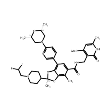 CSc1cc(C)[nH]c(=O)c1CNC(=O)c1cc(-c2ccc(N3C[C@@H](C)O[C@@H](C)C3)nc2)c2c(c1C)O[C@@](C)(C1CCN(CC(F)F)CC1)O2